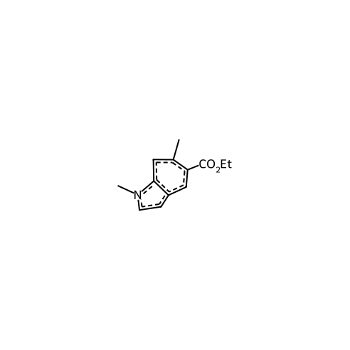 CCOC(=O)c1cc2ccn(C)c2cc1C